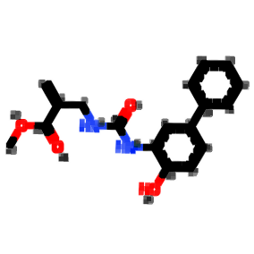 C=C(CNC(=O)Nc1cc(-c2ccccc2)ccc1O)C(=O)OC